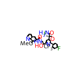 COc1cc(C(=O)NCC(O)(c2cc3c(c(-c4ccc(F)cc4)n2)OC[C@@]3(CF)C(N)=O)C(F)(F)F)cc2cccnc12